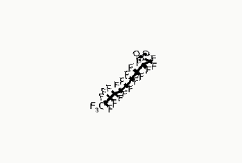 O=S(=O)(F)C(F)(F)C(F)(F)C(F)(F)C(F)(F)C(F)(F)C(F)(F)C(F)(F)C(F)(F)C(F)(F)C(F)(F)F